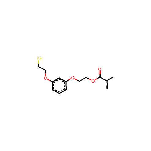 C=C(C)C(=O)OCCOc1cccc(OCCS)c1